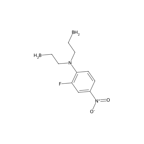 BCCN(CCB)c1ccc([N+](=O)[O-])cc1F